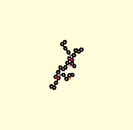 c1ccc(-c2ccc(-c3cccc4c3ccc3ccccc34)cc2N(c2ccc(-c3ccc(-c4cccc5ccccc45)cc3)cc2)c2ccc(-c3ccc(-c4ccc5ccc6c(-c7ccc(-c8ccccc8)c(N(c8ccc(-c9ccc(-c%10cccc%11ccccc%10%11)cc9)cc8)c8cccc(-c9cccc%10oc%11c%12ccccc%12ccc%11c9%10)c8)c7)cccc6c5c4)c4oc5c6ccccc6ccc5c34)cc2)cc1